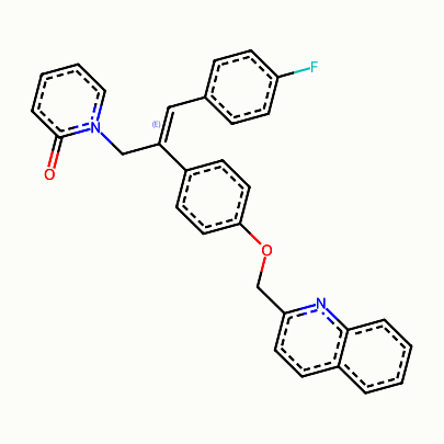 O=c1ccccn1C/C(=C/c1ccc(F)cc1)c1ccc(OCc2ccc3ccccc3n2)cc1